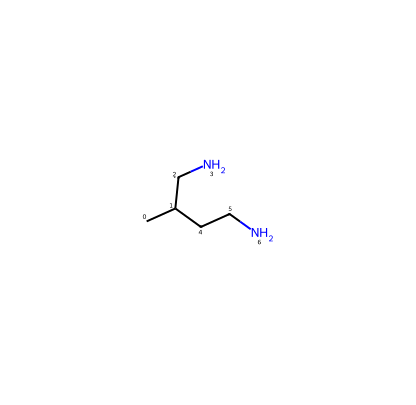 CC([CH]N)CCN